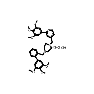 COc1cc(-c2cc(CN3CCN(Cc4ccccc4-c4cc(OC)c(OC)c(OC)c4)CC3)ccn2)cc(OC)c1OC.Cl.Cl.Cl